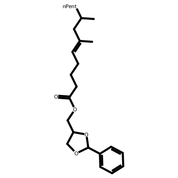 CCCCCC(C)C/C(C)=C/CCCC(=O)OCC1COC(c2ccccc2)O1